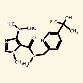 CN(Cc1ccc(C(C)(O)C(F)(F)F)cn1)C(=O)c1c(N(C)C=O)ncn1C